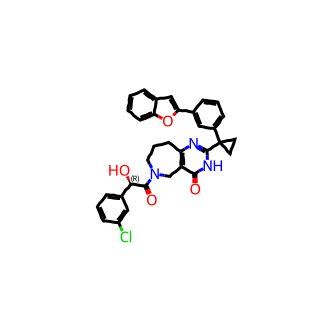 O=C([C@H](O)c1cccc(Cl)c1)N1CCCc2nc(C3(c4cccc(-c5cc6ccccc6o5)c4)CC3)[nH]c(=O)c2C1